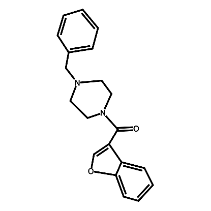 O=C(c1coc2ccccc12)N1CCN(Cc2ccccc2)CC1